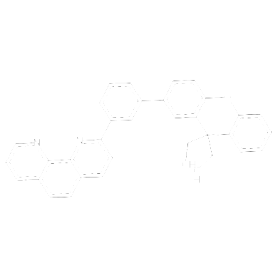 CCC1(CC)c2ccccc2Oc2ccc(-c3cccc(-c4ccc5ccc6cccnc6c5n4)c3)cc21